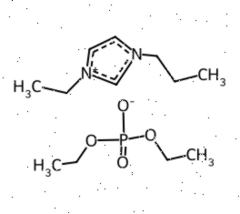 CCCn1cc[n+](CC)c1.CCOP(=O)([O-])OCC